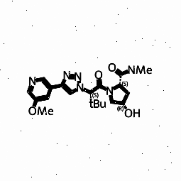 CNC(=O)[C@@H]1C[C@@H](O)CN1C(=O)[C@@H](n1cc(-c2cncc(OC)c2)nn1)C(C)(C)C